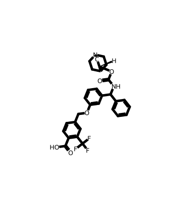 O=C(NC(c1ccccc1)c1cccc(OCc2ccc(C(=O)O)c(C(F)(F)F)c2)c1)O[C@H]1CN2CCC1CC2